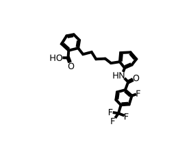 O=C(Nc1ccccc1CCCCCc1ccccc1C(=O)O)c1ccc(C(F)(F)F)cc1F